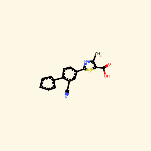 Cc1nc(-c2ccc(-c3ccccc3)c(C#N)c2)sc1C(=O)O